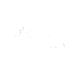 CCC(CC)Oc1ccc(-c2ccc(B(O)O)cc2)cc1